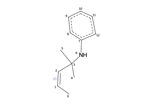 C/C=C\C(C)(C)Nc1ccccc1